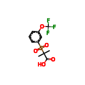 CC(C)(C(=O)O)S(=O)(=O)c1cccc(OC(F)(F)F)c1